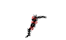 CCCCCCCCC=COc1ccc(OC(=O)c2ccc(OC(C)CCCCCC)cc2)cc1